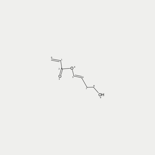 C=CC(=O)OC=CCCO